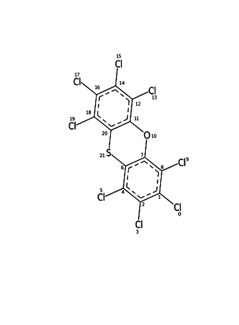 Clc1c(Cl)c(Cl)c2c(c1Cl)Oc1c(Cl)c(Cl)c(Cl)c(Cl)c1S2